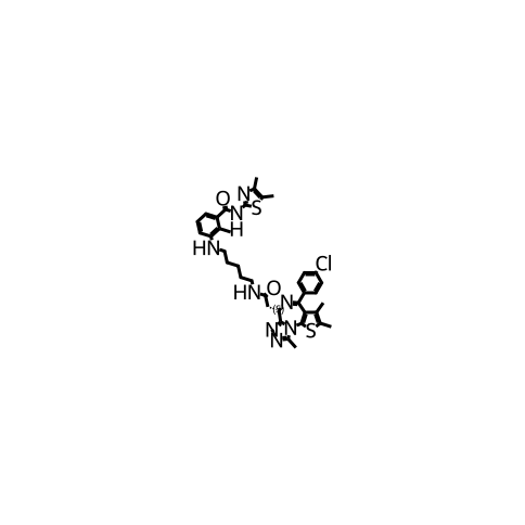 Cc1nc(NC(=O)c2cccc(NCCCCCNC(=O)C[C@@H]3N=C(c4ccc(Cl)cc4)c4c(sc(C)c4C)-n4c(C)nnc43)c2C)sc1C